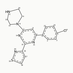 Clc1ccc(-c2cc(N3CCNCC3)nc(-c3ccsn3)n2)cc1